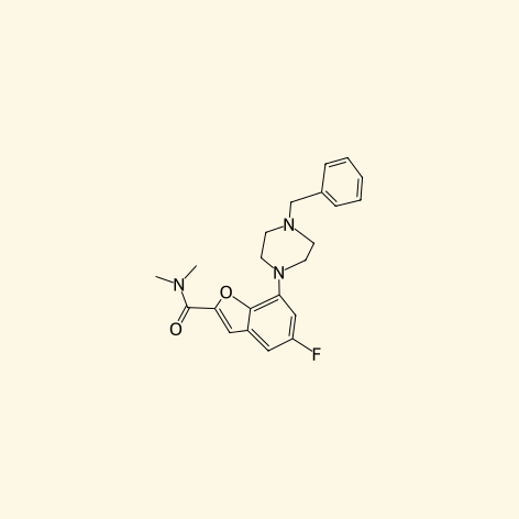 CN(C)C(=O)c1cc2cc(F)cc(N3CCN(Cc4ccccc4)CC3)c2o1